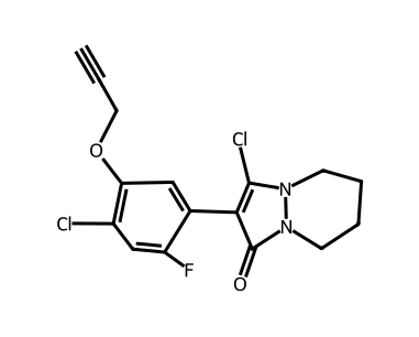 C#CCOc1cc(-c2c(Cl)n3n(c2=O)CCCC3)c(F)cc1Cl